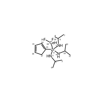 CC(C)[NH][Zr]([NH]C(C)C)([NH]C(C)C)([C]1=CC=CC1)[GeH]([F])[F]